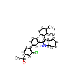 Cc1cccc(-c2c(-c3cccc(-c4ccc(C(=O)N=O)cc4Cl)c3)[nH]c3ccccc23)c1C#N